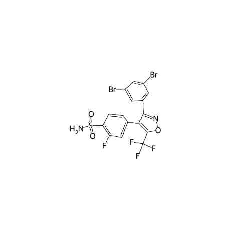 NS(=O)(=O)c1ccc(-c2c(-c3cc(Br)cc(Br)c3)noc2C(F)(F)F)cc1F